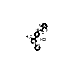 CC1=C(c2ccc(NC(=O)c3c(F)cccc3F)cc2)CN(c2ccccn2)CC1.Cl